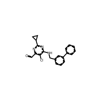 O=Cc1nc(C2CC2)nc(NCc2cccc(-c3ccccc3)c2)c1Cl